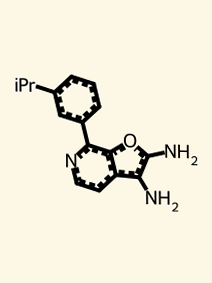 CC(C)c1cccc(-c2nccc3c(N)c(N)oc23)c1